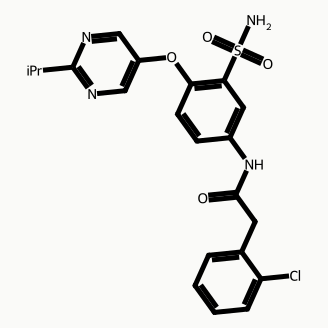 CC(C)c1ncc(Oc2ccc(NC(=O)Cc3ccccc3Cl)cc2S(N)(=O)=O)cn1